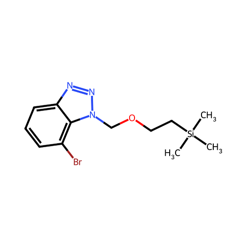 C[Si](C)(C)CCOCn1nnc2cccc(Br)c21